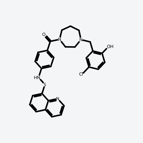 O=C(c1ccc(NSc2cccc3cccnc23)cc1)N1CCCN(Cc2cc(Cl)ccc2O)CC1